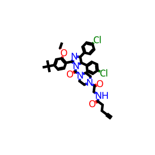 C#CCCC(=O)NCC(=O)N1CCN(C(=O)N2C(c3ccc(C(C)(C)C)cc3OCC)=NC(c3ccc(Cl)cc3)C2c2ccc(Cl)cc2)CC1